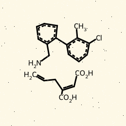 C=CC/C(=C\C(=O)O)C(=O)O.Cc1c(Cl)cccc1-c1ccccc1CN